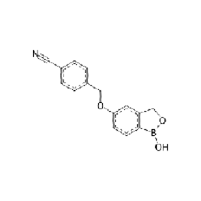 N#Cc1ccc(COc2ccc3c(c2)COB3O)cc1